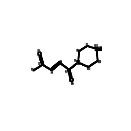 CC(=O)C=CC(=O)N1CCNCC1